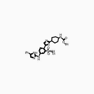 CCNS(=O)(=O)c1cc(Nc2ncc(C(C)C)[nH]2)ccc1-c1cnc(C2CCC(NC(=O)OC(C)C)CC2)s1